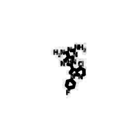 CC(Nc1nc(N)nc(N)c1C#N)c1cn(-c2ccc(F)cc2)c2nccc(Cl)c12